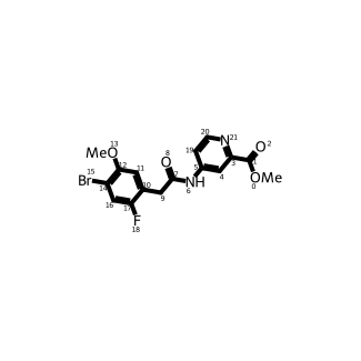 COC(=O)c1cc(NC(=O)Cc2cc(OC)c(Br)cc2F)ccn1